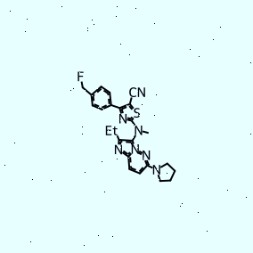 CCc1nc2ccc(N3CCCC3)nn2c1N(C)c1nc(-c2ccc(CF)cc2)c(C#N)s1